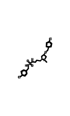 CN1C[C@H](OCc2ccc(Cl)cc2)C[C@@H]1CCCNS(=O)(=O)NCc1ccc(Cl)cc1